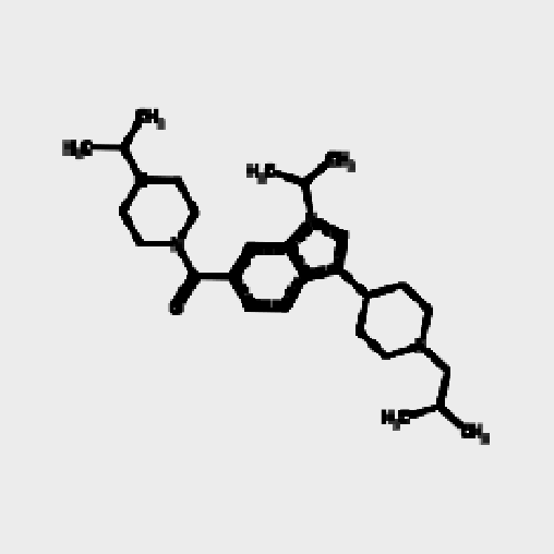 CC(C)CN1CCC(c2cn(C(C)C)c3cc(C(=O)N4CCN(C(C)C)CC4)ccc23)CC1